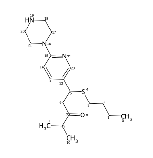 CCCCSC(CC(=O)C(C)C)c1ccc(N2CCNCC2)nc1